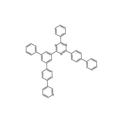 c1ccc(-c2ccc(-c3nc(-c4ccccc4)nc(-c4cc(-c5ccccc5)cc(-c5ccc(-c6cccnc6)cc5)c4)n3)cc2)cc1